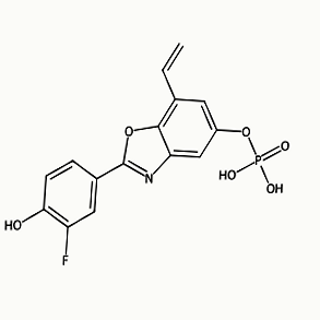 C=Cc1cc(OP(=O)(O)O)cc2nc(-c3ccc(O)c(F)c3)oc12